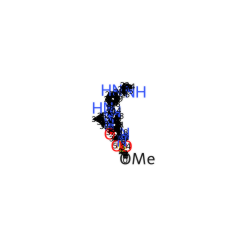 COCCS(=O)(=O)n1cnc(-c2cc3cnc(Nc4ccc(NC5CCNC5)cc4)nc3n(CC3CC3)c2=O)c1C